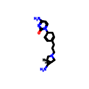 Nc1ccn(C2C=CC(CCCN3CC4C(N)[C@@H]4C3)=CC2)c(=O)n1